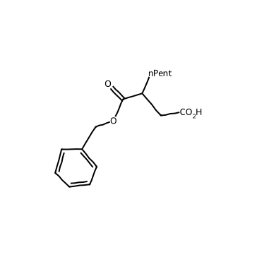 CCCCCC(CC(=O)O)C(=O)OCc1ccccc1